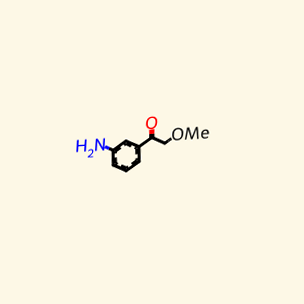 COCC(=O)c1cccc(N)c1